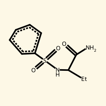 CCC(NS(=O)(=O)c1ccccc1)C(N)=O